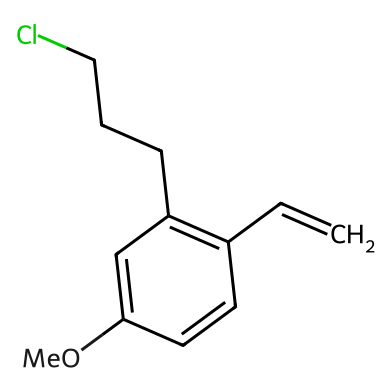 C=Cc1ccc(OC)cc1CCCCl